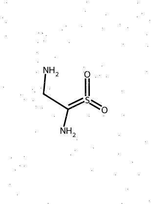 NCC(N)=S(=O)=O